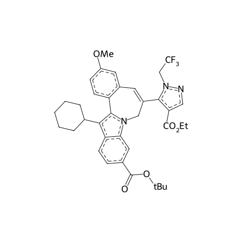 CCOC(=O)c1cnn(CC(F)(F)F)c1C1=Cc2cc(OC)ccc2-c2c(C3CCCCC3)c3ccc(C(=O)OC(C)(C)C)cc3n2C1